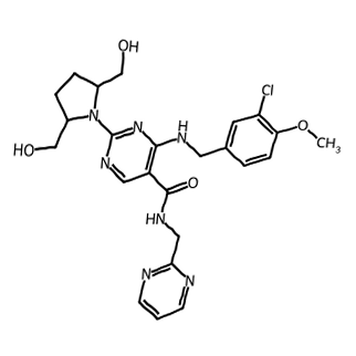 COc1ccc(CNc2nc(N3C(CO)CCC3CO)ncc2C(=O)NCc2ncccn2)cc1Cl